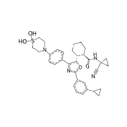 N#CC1(NC(=O)[C@@H]2CCCC[C@H]2c2oc(-c3cccc(C4CC4)c3)nc2-c2ccc(N3CCS(O)(O)CC3)cc2)CC1